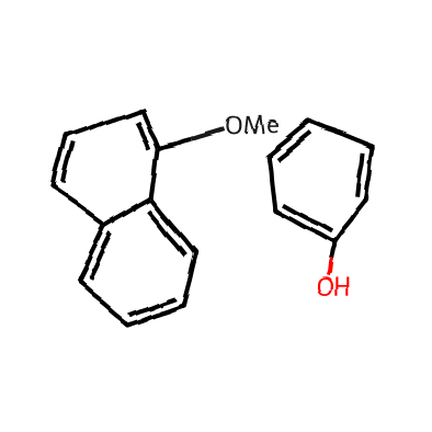 COc1cccc2ccccc12.Oc1ccccc1